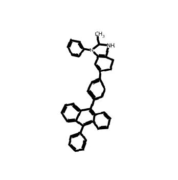 CC1NC2=C(C=C(C3=CC=C(c4c5ccccc5c(-c5ccccc5)c5ccccc45)CC3)CC2)N1c1ccccc1